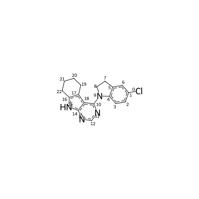 Clc1ccc2c(c1)CCN2c1ncnc2[nH]c3c(c12)CCCC3